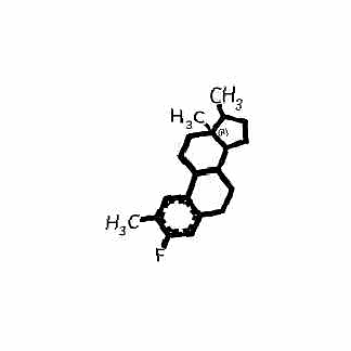 Cc1cc2c(cc1F)CCC1C2CC[C@]2(C)C(C)CCC12